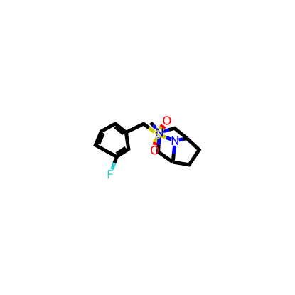 CN1CC2CCC(C1)N2S(=O)(=O)Cc1cccc(F)c1